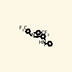 C[C@@H](NCc1cccc(C#CCN(Cc2ccc(C(F)(F)F)cc2)Cc2ccc(C(F)(F)F)cc2)c1)c1ccccc1